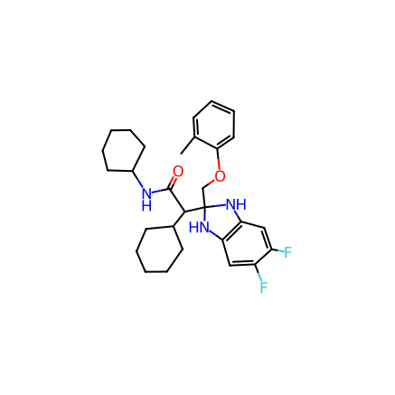 Cc1ccccc1OCC1(C(C(=O)NC2CCCCC2)C2CCCCC2)Nc2cc(F)c(F)cc2N1